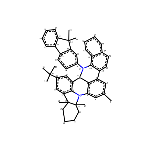 Cc1cc2c3c(c1)N1c4c(cc(C(C)(C)C)cc4C4(C)CCCCC14C)B3N(c1ccc3c(c1)C(C)(C)c1ccccc1-3)c1c-2ccc2ccccc12